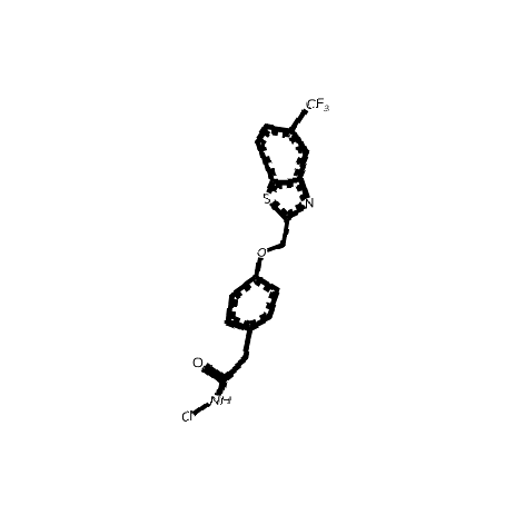 O=C(Cc1ccc(OCc2nc3cc(C(F)(F)F)ccc3s2)cc1)NCl